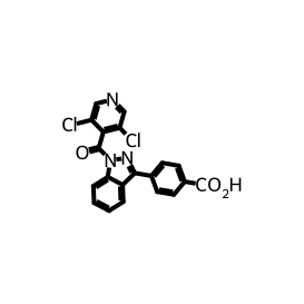 O=C(O)c1ccc(-c2nn(C(=O)c3c(Cl)cncc3Cl)c3ccccc23)cc1